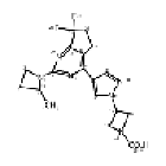 C[C@H]1CCN1c1nc(-c2cnn(C3CN(C(=O)O)C3)c2)c2c(n1)C(F)(F)CC2